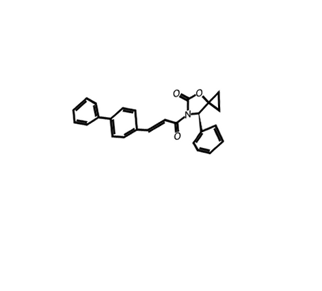 O=C(/C=C/c1ccc(-c2ccccc2)cc1)N1C(=O)OC2(CC2)[C@H]1c1ccccc1